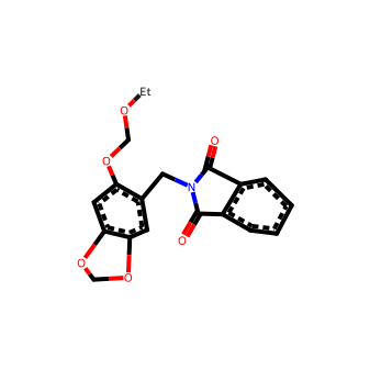 CCOCOc1cc2c(cc1CN1C(=O)c3ccccc3C1=O)OCO2